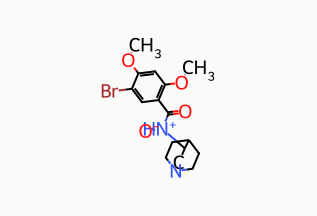 COc1cc(OC)c(C(=O)[NH+]([O-])C2CN3CCC2CC3)cc1Br